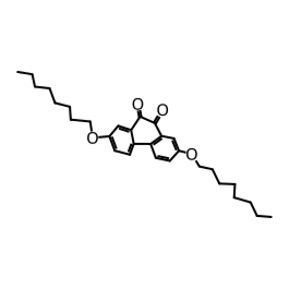 CCCCCCCCOc1ccc2c(c1)C(=O)C(=O)c1cc(OCCCCCCCC)ccc1-2